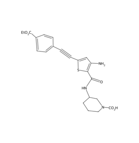 CCOC(=O)c1ccc(C#Cc2cc(N)c(C(=O)NC3CCCN(C(=O)O)C3)s2)cc1